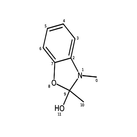 CN1c2ccccc2OC1(C)O